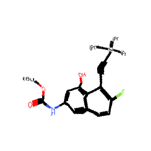 CC(C)[Si](C#Cc1c(F)ccc2cc(NC(=O)OC(C)(C)C)cc(O)c12)(C(C)C)C(C)C